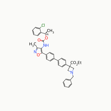 CCOC(=O)C1(c2ccc(-c3ccc(-c4onc(C)c4NC(=O)O[C@H](C)c4ccccc4Cl)cc3)cc2)CN(Cc2ccccc2)C1